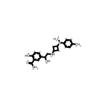 Cc1ccc(N(C)C2CC(NCC(O)c3ccc(O)c(C(N)=O)c3)C2)cc1